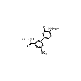 CC[C@@H](C)NC(=O)c1cc(C2=CN=C(NC(C)C)C(=O)[N]2)cc([N+](=O)[O-])c1